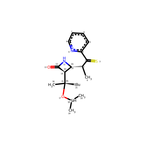 CC(C(=S)c1ccccn1)[C@H]1NC(=O)[C@@H]1[C@@](C)(O[SiH](C)C)C(C)(C)C